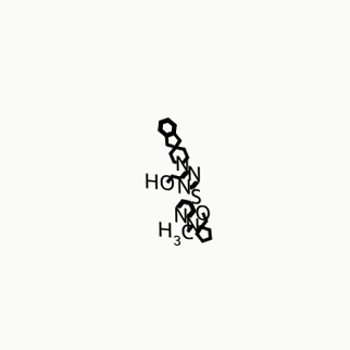 CN1c2nccc(Sc3cnc(N4CCC5(CC4)Cc4ccccc4C5)c(CO)n3)c2OCC12CCCC2